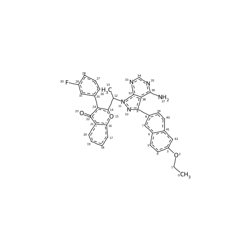 CCOc1ccc2cc(-c3nn(C(C)c4oc5ccccc5c(=O)c4-c4cccc(F)c4)c4ncnc(N)c34)ccc2c1